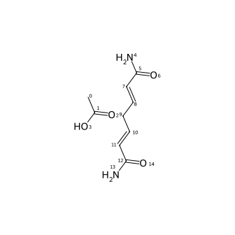 CC(=O)O.NC(=O)C=CCC=CC(N)=O